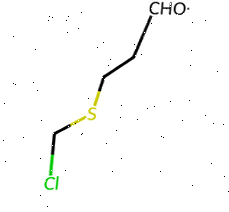 O=[C]CCSCCl